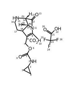 O=C(NC1CC1)OCC1=C(C(=O)O)N2C(=O)[C@H]3NCCC1[C@H]32.O=C(O)C(F)(F)F